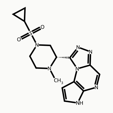 CN1CCN(S(=O)(=O)C2CC2)C[C@@H]1c1nnc2cnc3[nH]ccc3n12